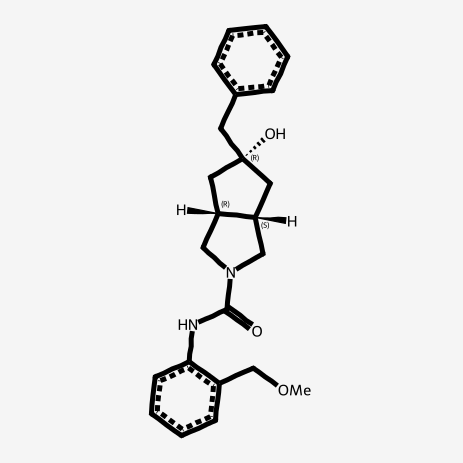 COCc1ccccc1NC(=O)N1C[C@@H]2C[C@@](O)(Cc3ccccc3)C[C@@H]2C1